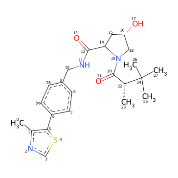 Cc1ncsc1-c1ccc(CNC(=O)C2C[C@H](O)CN2C(=O)[C@@H](C)C(C)(C)C)cc1